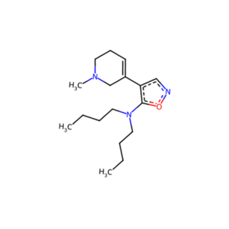 CCCCN(CCCC)c1oncc1C1=CCCN(C)C1